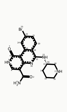 NC(=O)c1c[nH]c(=O)c2c1nc(N[C@H]1CCCNC1)c1ccc(Br)cc12